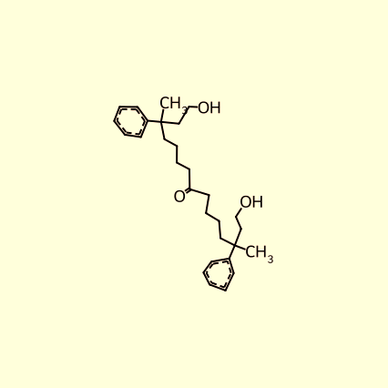 CC(CCO)(CCCCC(=O)CCCCC(C)(CCO)c1ccccc1)c1ccccc1